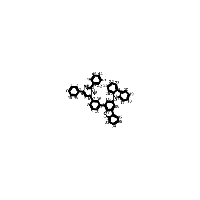 c1ccc(-c2cc(-c3cccc(-c4cc(-n5c6ccccc6c6ccccc65)cc5c4sc4ccccc45)c3)nc(-c3ccccc3)n2)cc1